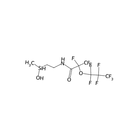 C[SiH](O)CCNC(=O)C(F)(OC(F)(F)C(F)(F)C(F)(F)F)C(F)(F)F